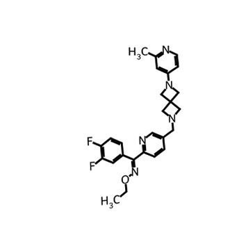 CCO/N=C(\c1ccc(F)c(F)c1)c1ccc(CN2CC3(C2)CN(c2ccnc(C)c2)C3)cn1